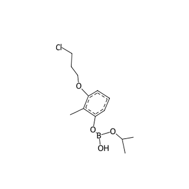 Cc1c(OCCCCl)cccc1OB(O)OC(C)C